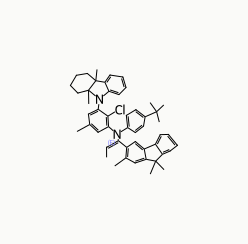 C/C=C(\c1cc2c(cc1C)C(C)(C)c1ccccc1-2)N(c1ccc(C(C)(C)C)cc1)c1cc(C)cc(N2c3ccccc3C3(C)CCCCC23C)c1Cl